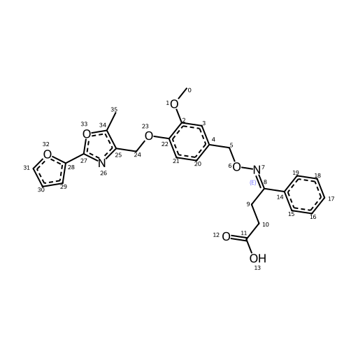 COc1cc(CO/N=C(\CCC(=O)O)c2ccccc2)ccc1OCc1nc(-c2ccco2)oc1C